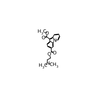 COC(=O)c1c2ccc(C(=O)OCCN(C)C)cc2n2ccccc12